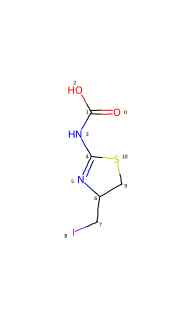 O=C(O)NC1=NC(CI)CS1